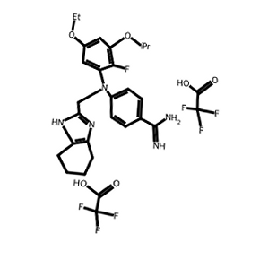 CCOc1cc(OC(C)C)c(F)c(N(Cc2nc3c([nH]2)CCCC3)c2ccc(C(=N)N)cc2)c1.O=C(O)C(F)(F)F.O=C(O)C(F)(F)F